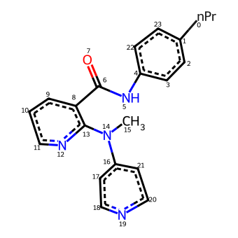 CCCc1ccc(NC(=O)c2cccnc2N(C)c2ccncc2)cc1